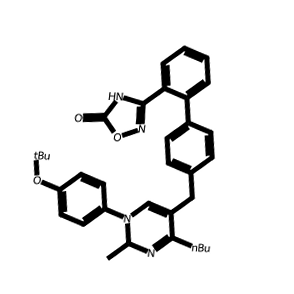 CCCCC1=NC(C)N(c2ccc(OC(C)(C)C)cc2)C=C1Cc1ccc(-c2ccccc2-c2noc(=O)[nH]2)cc1